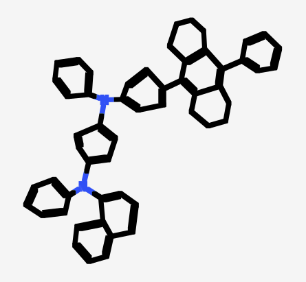 c1ccc(-c2c3c(c(-c4ccc(N(c5ccccc5)c5ccc(N(c6ccccc6)c6cccc7ccccc67)cc5)cc4)c4c2CCCC4)CCCC3)cc1